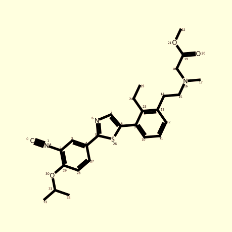 [C-]#[N+]c1cc(-c2ncc(-c3cccc(CCN(C)CC(=O)OC)c3CC)s2)ccc1OC(C)C